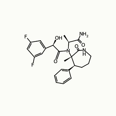 C[C@@H](C(N)=O)N(C(=O)[C@H](O)c1cc(F)cc(F)c1)[C@]1(C)C(=O)NCCC[C@H]1c1ccccc1